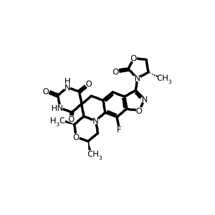 C[C@@H]1CN2c3c(cc4c(N5C(=O)OC[C@@H]5C)noc4c3F)CC3(C(=O)NC(=O)NC3=O)C2[C@H](C)O1